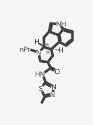 CCCN1CC(C(=O)Nc2nnc(C)s2)C[C@@H]2c3cccc4[nH]cc(c34)C[C@H]21